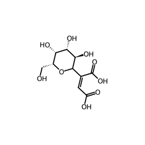 O=C(O)/C=C(\C(=O)O)C1O[C@H](CO)[C@H](O)[C@H](O)[C@H]1O